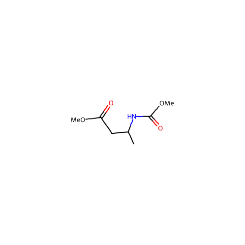 COC(=O)CC(C)NC(=O)OC